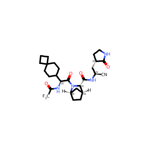 N#C[C@H](C[C@@H]1CCNC1=O)NC(=O)[C@@H]1[C@H]2CC[C@H](C2)N1C(=O)[C@@H](NC(=O)C(F)(F)F)C1CCC2(CCC2)CC1